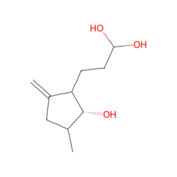 C=C1CC(C)[C@@H](O)C1CCC(O)O